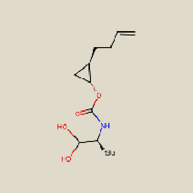 C=CCC[C@@H]1C[C@H]1OC(=O)N[C@H](C(O)O)C(C)(C)C